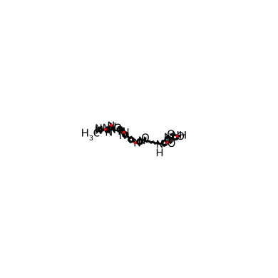 Cn1cc(-c2cnc3c(nnn3C[C@@H]3CN(c4ncc(-c5ccc(CN6CCN(C(=O)CCCCCCNc7ccc8c(=O)n(C9CCC(=O)NC9=O)ncc8c7)CC6)cc5)cn4)CCO3)n2)cn1